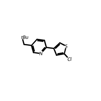 CC(C)(C)Cc1ccc(-c2csc(Cl)c2)nc1